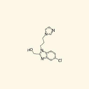 OCc1nc2cc(Cl)ccc2n1CCCn1ccnc1